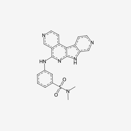 CN(C)S(=O)(=O)c1cccc(Nc2nc3[nH]c4cnccc4c3c3ccncc23)c1